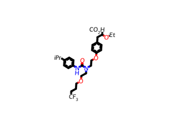 CCOC(Cc1ccc(OCCN(CCOCCCC(F)(F)F)C(=O)Nc2ccc(C(C)C)cc2)cc1)C(=O)O